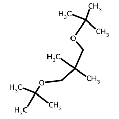 CC(C)(COC(C)(C)C)COC(C)(C)C